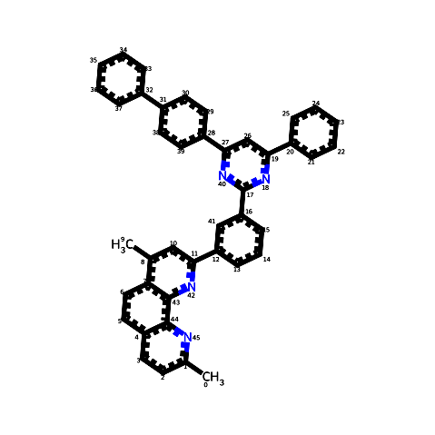 Cc1ccc2ccc3c(C)cc(-c4cccc(-c5nc(-c6ccccc6)cc(-c6ccc(-c7ccccc7)cc6)n5)c4)nc3c2n1